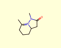 CC1=[N+]2C(CCC1)CC(=O)N2C